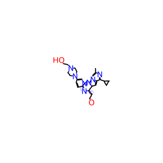 Cc1cn2nc(C(=C/C=O)/N=c3/ccc(N4CCN(CCO)CC4)cn3C)cc2c(C2CC2)n1